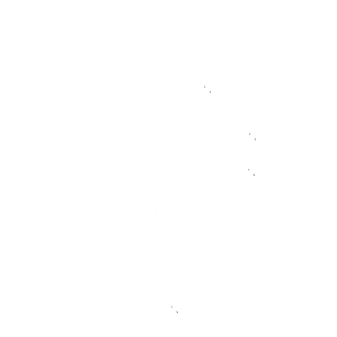 Cc1nn(C)c(-n2ccc3cc(Cl)ccc32)c1CC(CC1CC1)S(=O)(=O)OC(N)=O